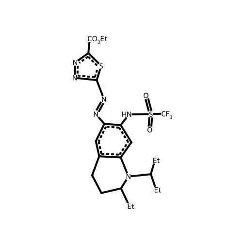 CCOC(=O)c1nnc(N=Nc2cc3c(cc2NS(=O)(=O)C(F)(F)F)N(C(CC)CC)C(CC)CC3)s1